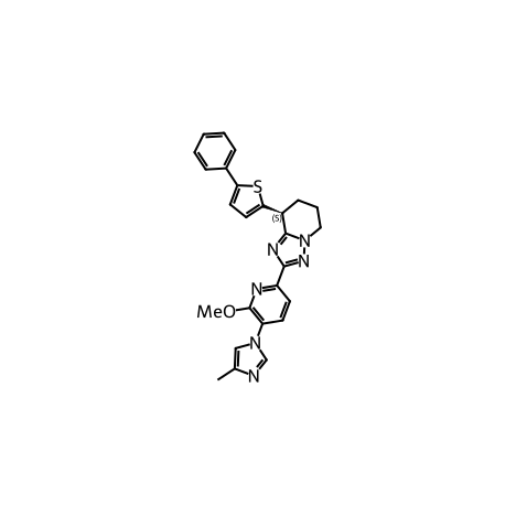 COc1nc(-c2nc3n(n2)CCC[C@@H]3c2ccc(-c3ccccc3)s2)ccc1-n1cnc(C)c1